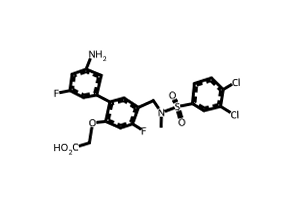 CN(Cc1cc(-c2cc(N)cc(F)c2)c(OCC(=O)O)cc1F)S(=O)(=O)c1ccc(Cl)c(Cl)c1